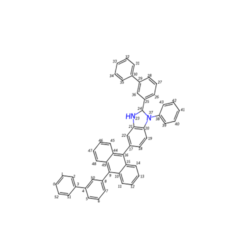 c1ccc(-c2cccc(-c3c4ccccc4c(-c4ccc5c(c4)NC(c4cccc(-c6ccccc6)c4)N5c4ccccc4)c4ccccc34)c2)cc1